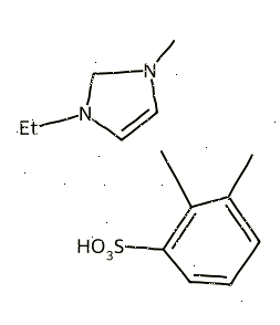 CCN1C=CN(C)C1.Cc1cccc(S(=O)(=O)O)c1C